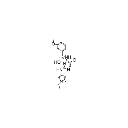 COc1cccc([C@@H](CO)Nc2nc(Nc3cnn(C(C)C)c3)ncc2Cl)c1